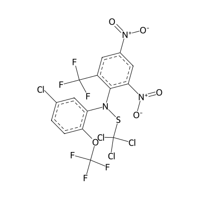 O=[N+]([O-])c1cc([N+](=O)[O-])c(N(SC(Cl)(Cl)Cl)c2cc(Cl)ccc2OC(F)(F)F)c(C(F)(F)F)c1